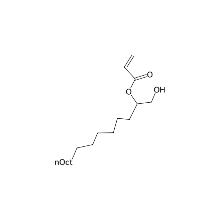 C=CC(=O)OC(CO)CCCCCCCCCCCCCC